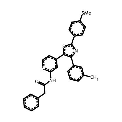 CSc1ccc(-c2nc(-c3cccc(C)c3)c(-c3ccnc(NC(=O)Cc4ccccc4)c3)s2)cc1